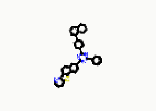 c1ccc(-c2nc(-c3ccc(-c4cccc5ccccc45)cc3)nc(-c3ccc4c(ccc5c6ncccc6sc45)c3)n2)cc1